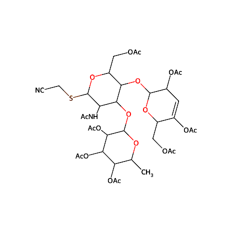 CC(=O)NC1C(SCC#N)OC(COC(C)=O)C(OC2OC(COC(C)=O)C(OC(C)=O)=CC2OC(C)=O)C1OC1OC(C)C(OC(C)=O)C(OC(C)=O)C1OC(C)=O